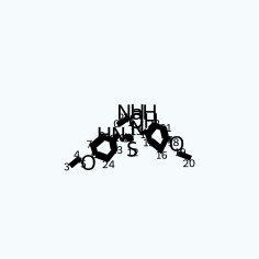 CCO.CCOc1ccc(NC(=S)Nc2ccc(OCC)cc2)cc1.[NaH]